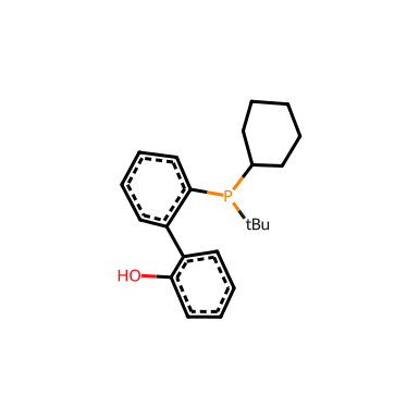 CC(C)(C)P(c1ccccc1-c1ccccc1O)C1CCCCC1